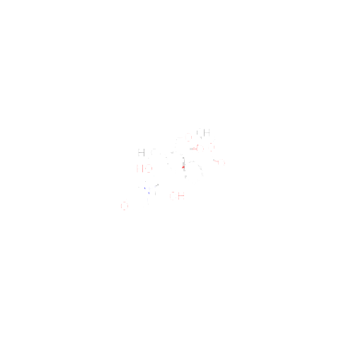 Cc1c([C@@H](O)CN2C3COCC2CC(CC(O)c2ccc4c(c2)C[C@@H](C)OC4=O)C3)ccc2c1COC2=O